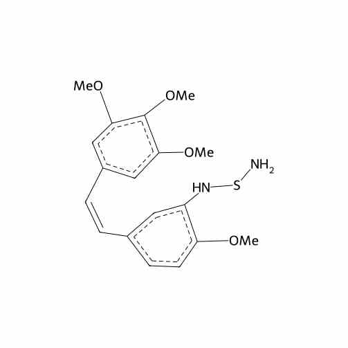 COc1ccc(/C=C\c2cc(OC)c(OC)c(OC)c2)cc1NSN